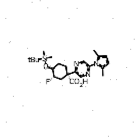 Cc1ccc(C)n1-c1cnc([C@]2(C(=O)O)CCC(O[Si](C)(C)C(C)(C)C)[C@@H](F)C2)cn1